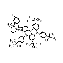 CC(C)(C)c1ccc(N2c3ccc(C(C)(C)C)cc3B3c4ccc(N5c6ccc(F)cc6C6(C)CCCCC56C)cc4N(c4ccc(C(C)(C)C)cc4)c4cc(C(C)(C)C)cc2c43)cc1